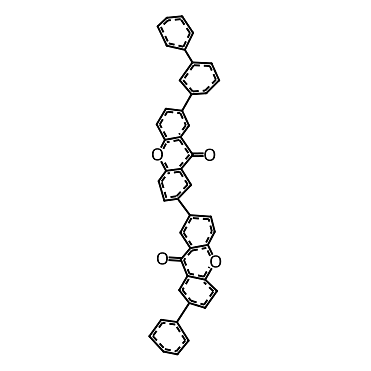 O=c1c2cc(-c3ccccc3)ccc2oc2ccc(-c3ccc4oc5ccc(-c6cccc(-c7ccccc7)c6)cc5c(=O)c4c3)cc12